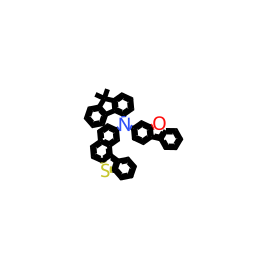 CC1(C)c2ccccc2-c2c(N(c3ccc4c(c3)oc3ccccc34)c3ccc4ccc5sc6ccccc6c5c4c3)cccc21